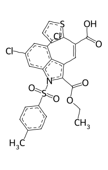 CCOC(=O)c1c(/C=C(/C(=O)O)c2cccs2)c2c(Cl)cc(Cl)cc2n1S(=O)(=O)c1ccc(C)cc1